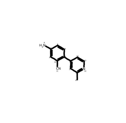 Cc1cc(-c2ccc(N)cc2C#N)ccn1